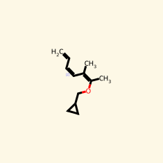 C=C/C=C\C(C)=C(C)OCC1CC1